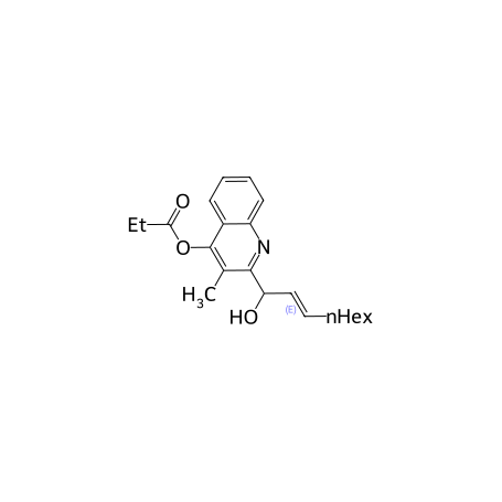 CCCCCC/C=C/C(O)c1nc2ccccc2c(OC(=O)CC)c1C